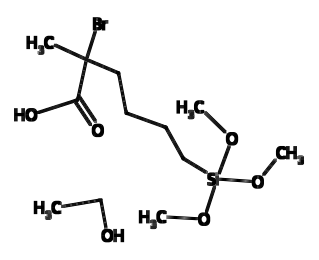 CCO.CO[Si](CCCCC(C)(Br)C(=O)O)(OC)OC